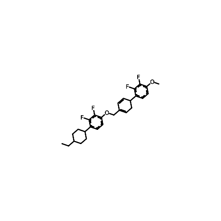 CCC1CCC(c2ccc(OCC3=CCC(c4ccc(OC)c(F)c4F)C=C3)c(F)c2F)CC1